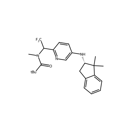 CN(C(=O)C(C)(C)C)C(c1ccc(N[C@H]2Cc3ccccc3C2(C)C)cn1)C(F)(F)F